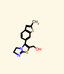 Cc1cc2ccc(C3=C(CO)SC4=NCCN43)cc2s1